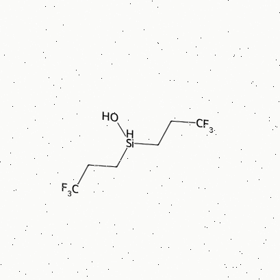 O[SiH](CCC(F)(F)F)CCC(F)(F)F